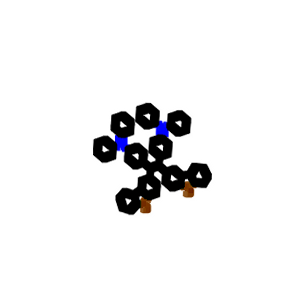 c1ccc(N(c2ccccc2)c2ccc(C(=C(c3ccc(N(c4ccccc4)c4ccccc4)cc3)c3ccc4sc5ccccc5c4c3)c3ccc4sc5ccccc5c4c3)cc2)cc1